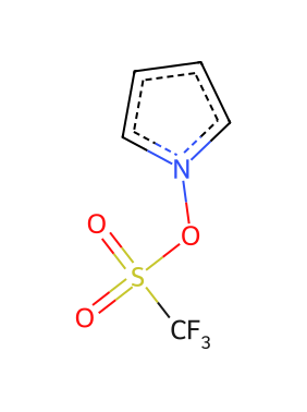 O=S(=O)(On1cccc1)C(F)(F)F